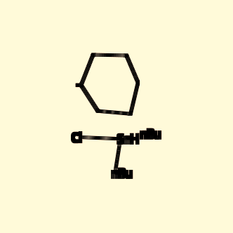 CCC[CH2][SnH]([Cl])[CH2]CCC.[CH]1CCCCC1